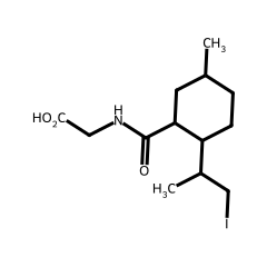 CC1CCC(C(C)CI)C(C(=O)NCC(=O)O)C1